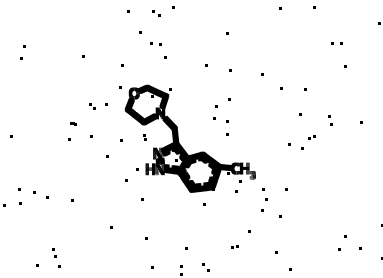 Cc1ccc2[nH]nc(CN3CCOCC3)c2c1